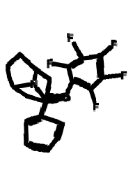 Fc1c(F)c(F)c(OC2(c3ccccc3)CC3CCC(C2)N3C=S)c(F)c1F